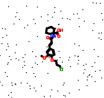 COc1cc(C=CC(=O)NC2(C(=O)O)CCCCC2)ccc1OCCCCl